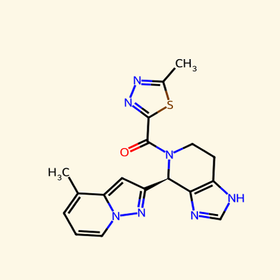 Cc1nnc(C(=O)N2CCc3[nH]cnc3[C@H]2c2cc3c(C)cccn3n2)s1